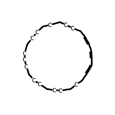 [C]1=C/C=C\C=C/CCCCCCCCCCCCCCCCCCCCC\1